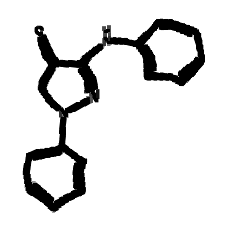 O=C1CN(c2ccccc2)N=C1Nc1ccccc1